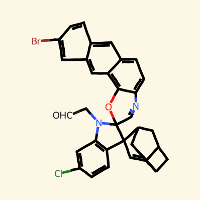 O=CCN1c2cc(Cl)ccc2C2(C=C3C4CC3CC2C4)C12C=Nc1ccc3cc4ccc(Br)cc4cc3c1O2